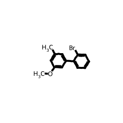 COc1cc(C)cc(-c2ccccc2Br)c1